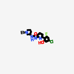 CCN1CCC[C@@H](Nc2nc3nc(-c4c(O)cc(Cl)cc4F)ccc3o2)C1